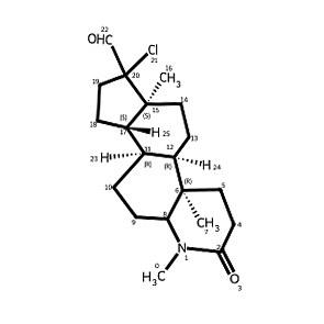 CN1C(=O)CC[C@@]2(C)C1CC[C@@H]1[C@H]2CC[C@@]2(C)[C@H]1CCC2(Cl)C=O